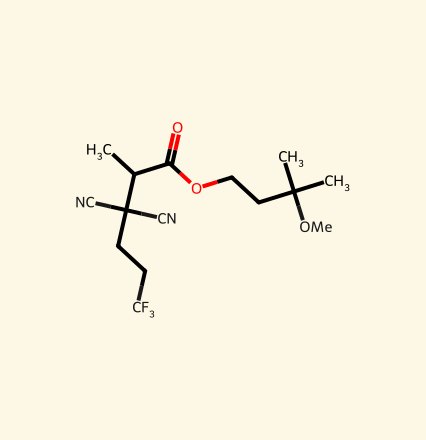 COC(C)(C)CCOC(=O)C(C)C(C#N)(C#N)CCC(F)(F)F